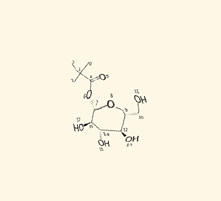 CC(C)(C)C(=O)O[C@@H]1O[C@H](CO)[C@@H](O)[C@H](O)[C@H]1O